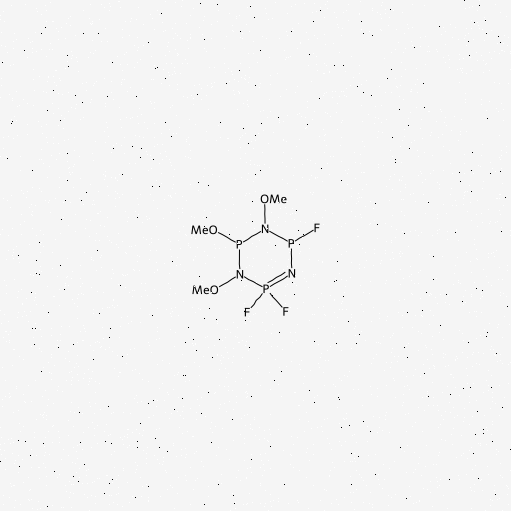 CON1P(F)N=P(F)(F)N(OC)P1OC